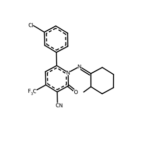 CC1CCCC/C1=N/n1c(-c2cccc(Cl)c2)cc(C(F)(F)F)c(C#N)c1=O